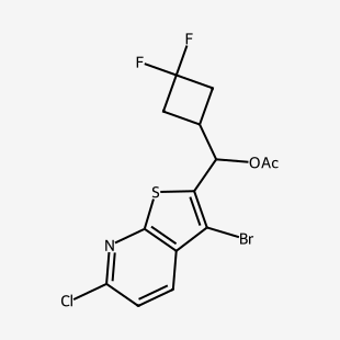 CC(=O)OC(c1sc2nc(Cl)ccc2c1Br)C1CC(F)(F)C1